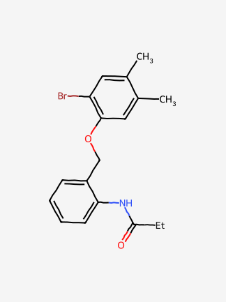 CCC(=O)Nc1ccccc1COc1cc(C)c(C)cc1Br